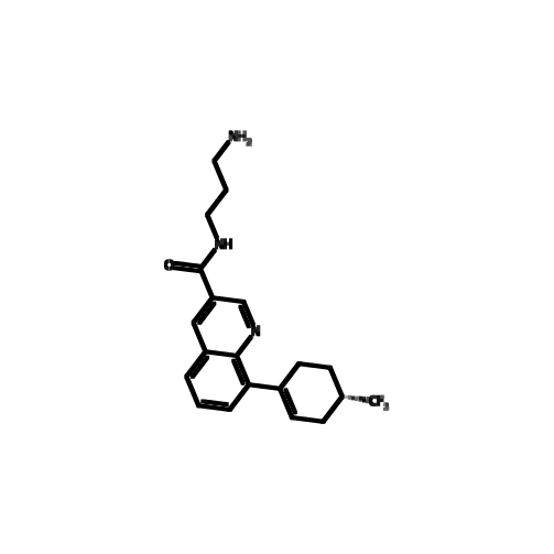 NCCCNC(=O)c1cnc2c(C3=CC[C@@H](C(F)(F)F)CC3)cccc2c1